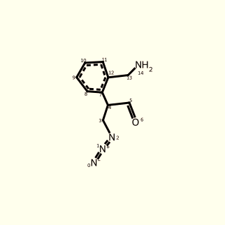 [N-]=[N+]=NCC(C=O)c1ccccc1CN